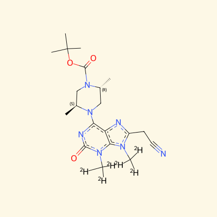 [2H]C([2H])([2H])n1c(CC#N)nc2c(N3C[C@@H](C)N(C(=O)OC(C)(C)C)C[C@@H]3C)nc(=O)n(C([2H])([2H])[2H])c21